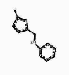 Cc1ccc(CNc2ccccc2)s1